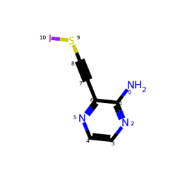 Nc1nccnc1C#CSI